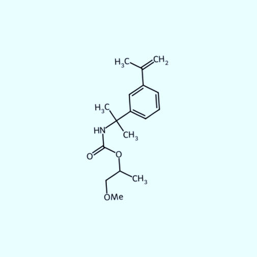 C=C(C)c1cccc(C(C)(C)NC(=O)OC(C)COC)c1